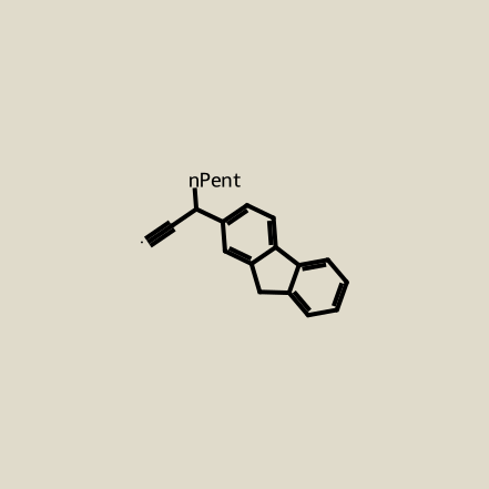 [C]#CC(CCCCC)c1ccc2c(c1)Cc1ccccc1-2